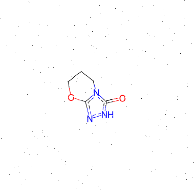 O=c1[nH]nc2n1CCCO2